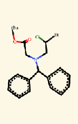 CCC(Cl)CN(CC(=O)OC(C)(C)C)C(c1ccccc1)c1ccccc1